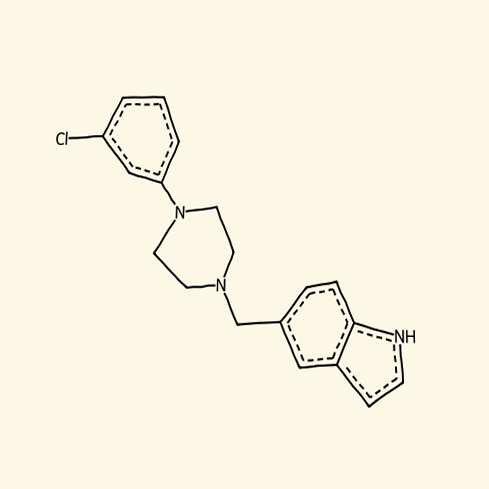 Clc1cccc(N2CCN(Cc3ccc4[nH]ccc4c3)CC2)c1